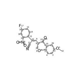 COc1ccc2occ(/C=C(\C#N)c3ccc(F)cc3[N+](=O)[O-])c(=O)c2c1